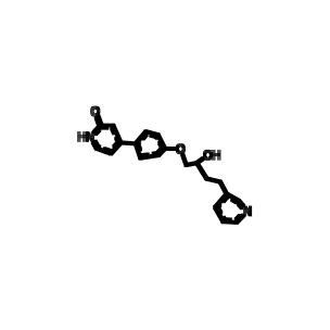 O=c1cc(-c2ccc(OCC(O)CCc3cccnc3)cc2)cc[nH]1